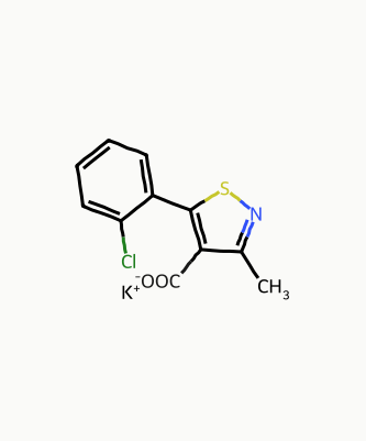 Cc1nsc(-c2ccccc2Cl)c1C(=O)[O-].[K+]